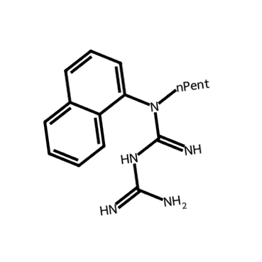 CCCCCN(C(=N)NC(=N)N)c1cccc2ccccc12